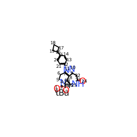 CC(C)(C)OC(=O)N1CCc2c3c(nn2-c2ccc(C4CCC4)cc2)CC(=O)NC[C@H]31